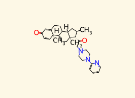 C[C@@H]1C[C@H]2[C@@H]3CCC4=CC(=O)C=C[C@]4(C)C3=CC[C@]2(C)[C@H]1C(=O)CN1CCN(c2ccccn2)CC1